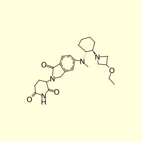 CCOC1CN([C@@H]2CCCC[C@H]2N(C)c2ccc3c(c2)CN(C2CCC(=O)NC2=O)C3=O)C1